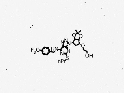 CCCSc1nc(NCc2ccc(C(F)(F)F)cc2)c2nnn([C@@H]3C[C@@H](OCCO)C4OC(C)(C)OC43)c2n1